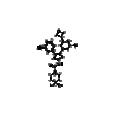 CCc1cc(-c2sc(NC(=O)N3CCC(C#N)(CC)CC3)nc2-c2cccc(C#N)c2)cc(C2COC2)n1